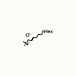 CCCCCCCCCC=CC[N+](C)(C)C.[Cl-]